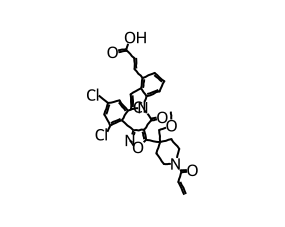 C=CC(=O)N1CCC(COC)(c2onc(-c3c(Cl)cc(Cl)cc3Cl)c2C(=O)n2ccc3c(/C=C/C(=O)O)cccc32)CC1